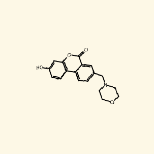 O=c1oc2cc(O)ccc2c2ccc(CN3CCOCC3)cc12